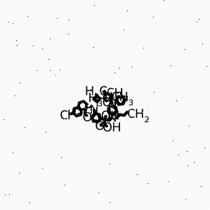 C=CCCCNCC(O)(C(=O)O)c1ccc2c(c1)N(C[C@@H]1CC[C@H]1C(C=C)O[Si](c1ccccc1)(c1ccccc1)C(C)(C)C)C[C@@]1(CCCc3cc(Cl)ccc31)CO2